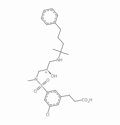 CN(C[C@H](O)CNC(C)(C)CCCc1ccccc1)S(=O)(=O)c1cc(Cl)cc(CCC(=O)O)c1